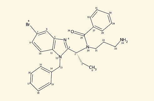 CC[C@H](c1nc2cc(Br)ccc2n1Cc1ccccc1)N(CCCN)C(=O)c1ccccc1